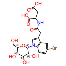 O=C(O)CC(NC(=O)Cc1cn([C@@H]2O[C@H](CO)[C@@H](O)[C@H](O)[C@H]2O)c2ccc(Br)cc12)C(=O)O